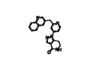 O=C1NCCc2c1cnn2-c1ccnc(Cc2cnc3ccccc3c2)c1